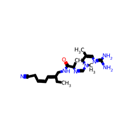 CC/C(=C\C=C/CC#N)CNC(=O)C(C)/N=C\N(C)C/C(C)=C\N=C(N)N